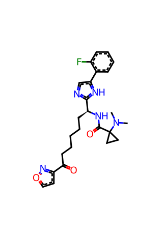 CN(C)C1(C(=O)N[C@@H](CCCCCC(=O)c2ccon2)c2ncc(-c3ccccc3F)[nH]2)CC1